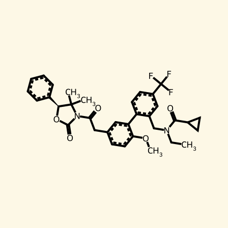 CCN(Cc1cc(C(F)(F)F)ccc1-c1cc(CC(=O)N2C(=O)O[C@@H](c3ccccc3)C2(C)C)ccc1OC)C(=O)C1CC1